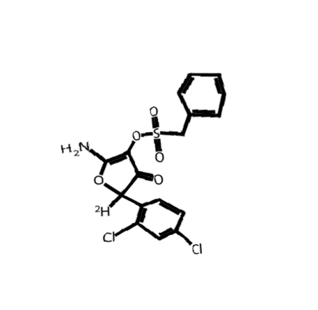 [2H]C1(c2ccc(Cl)cc2Cl)OC(N)=C(OS(=O)(=O)Cc2ccccc2)C1=O